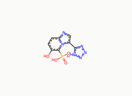 O=P(O)(O)c1c(O)ccc2ncc(-c3nnn[nH]3)n12